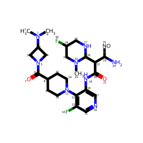 CN(C)C1CN(C(=O)C2CCN(c3c(F)cncc3NC(=O)C(C(N)N=O)C3NCC(F)CN3C)CC2)C1